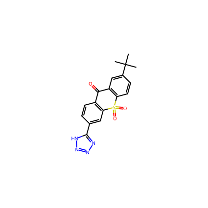 CC(C)(C)c1ccc2c(c1)C(=O)c1ccc(-c3nnn[nH]3)cc1S2(=O)=O